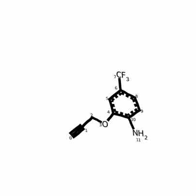 C#CCOc1cc(C(F)(F)F)ccc1N